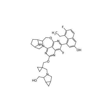 CCc1c(F)ccc2cc(O)cc(-c3nc4c5c(nc(OCC6(CN7CC8CC8C7CO)CC6)nc5c3F)N3CC5CCC(N5)C3CO4)c12